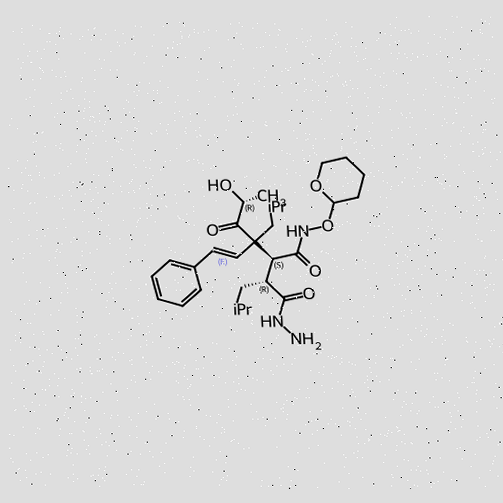 CC(C)C[C@@H](C(=O)NN)[C@H](C(=O)NOC1CCCCO1)C(/C=C/c1ccccc1)(CC(C)C)C(=O)[C@@H](C)O